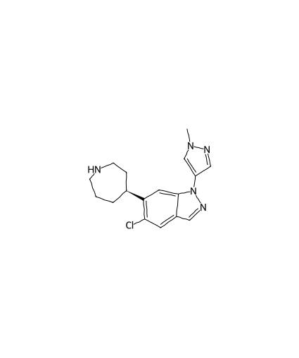 Cn1cc(-n2ncc3cc(Cl)c([C@H]4CCCNCC4)cc32)cn1